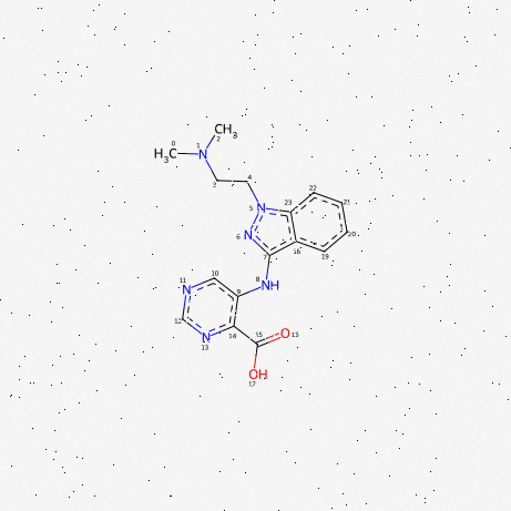 CN(C)CCn1nc(Nc2cncnc2C(=O)O)c2ccccc21